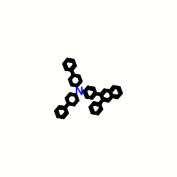 c1ccc(-c2cc3ccccc3cc2-c2ccc(N(C3CCC(c4ccccc4)CC3)C3CCC(c4ccccc4)CC3)cc2)cc1